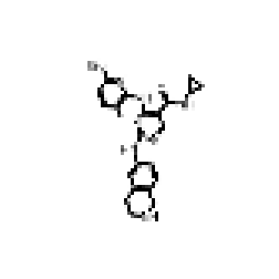 CC(C)(C)c1ccc(F)c(Nc2nc(Nc3ccc4c(c3)CCNC4)ncc2C(=O)NC2CC2)n1